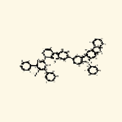 Cc1c(-c2ccccc2)nc(C2CC=Cc3c2oc2cc(-c4ccc5c(c4)c4cc6c(cc4n5-c4ccccc4)sc4ccccc46)ccc32)nc1-c1ccccc1